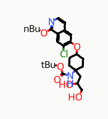 CCCCOc1nccc2cc(OC3CCC(CC(O)CO)(NC(=O)OC(C)(C)C)CC3)c(Cl)cc12